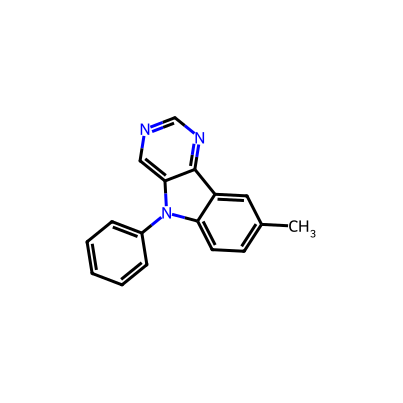 Cc1ccc2c(c1)c1ncncc1n2-c1ccccc1